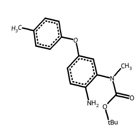 Cc1ccc(Oc2ccc(N)c(N(C)C(=O)OC(C)(C)C)c2)cc1